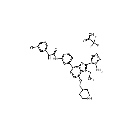 CCn1c(-c2nonc2N)nc2c(-c3cccc(NC(=O)Nc4cccc(Cl)c4)c3)ncc(OCC3CCNCC3)c21.O=C(O)C(F)(F)F